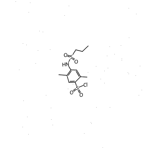 CCCS(=O)(=O)Nc1cc(C)c(S(=O)(=O)Cl)cc1C